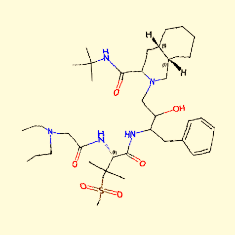 CCN(CC)CC(=O)N[C@H](C(=O)NC(Cc1ccccc1)C(O)CN1C[C@H]2CCCC[C@H]2CC1C(=O)NC(C)(C)C)C(C)(C)S(C)(=O)=O